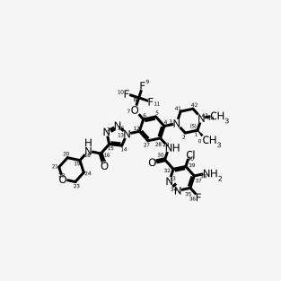 C[C@H]1CN(c2cc(OC(F)(F)F)c(-n3cc(C(=O)NC4CCOCC4)nn3)cc2NC(=O)c2nnc(F)c(N)c2Cl)CCN1C